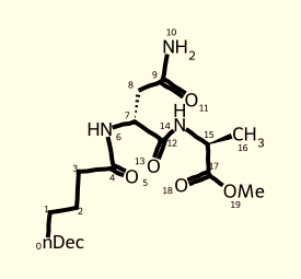 CCCCCCCCCCCCCC(=O)N[C@H](CC(N)=O)C(=O)N[C@@H](C)C(=O)OC